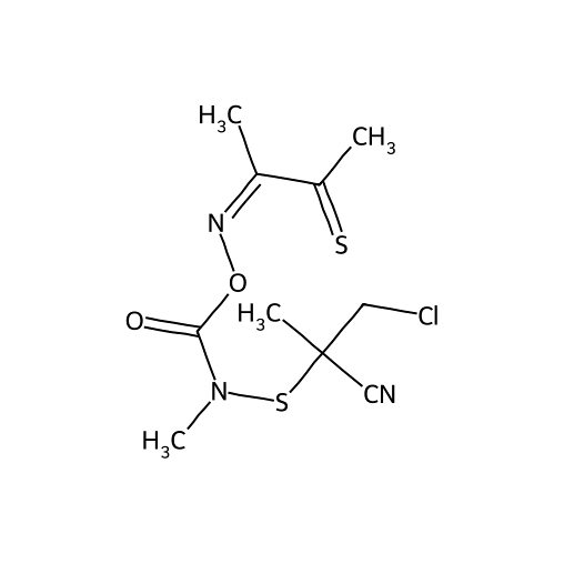 CC(=S)C(C)=NOC(=O)N(C)SC(C)(C#N)CCl